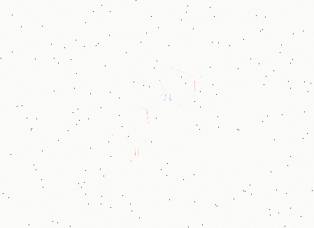 CCC(O[SH](=O)=O)N1CCOCC1